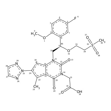 COc1ccc(F)cc1[C@H](Cn1c(=O)n(CC(=O)O)c(=O)c2c(C)c(-n3nccn3)sc21)OCCS(C)(=O)=O